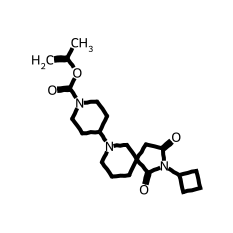 C=C(C)OC(=O)N1CCC(N2CCCC3(CC(=O)N(C4CCC4)C3=O)C2)CC1